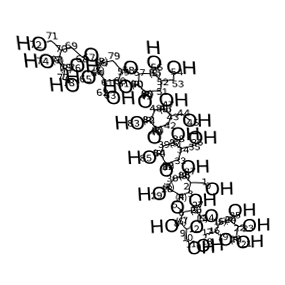 OCC1C[C@@H](OC2[C@@H](O)C(CO)O[C@@H](O[C@@H]3C(CO)O[C@@H](O)C(O)[C@H]3O)[C@H]2O)[C@@H](O)C(O[C@@H]2CC(CO)[C@H](O)C(O[C@@H]3CC(CO)[C@H](O)C(O[C@@H]4CC(CO)[C@H](O)C(OC5CC(CO)[C@H](O)[C@H](OCCC(CO)[C@H](O)[C@H](O)CO)C5)[C@@H]4O)[C@@H]3O)[C@@H]2O)[C@H]1O